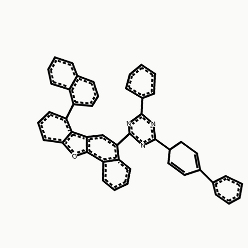 C1=CC(c2nc(-c3ccccc3)nc(-c3cc4c(oc5cccc(-c6cccc7ccccc67)c54)c4ccccc34)n2)CC=C1c1ccccc1